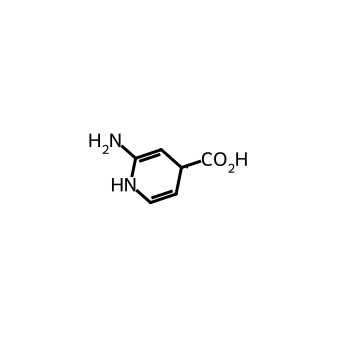 NC1=C[C](C(=O)O)C=CN1